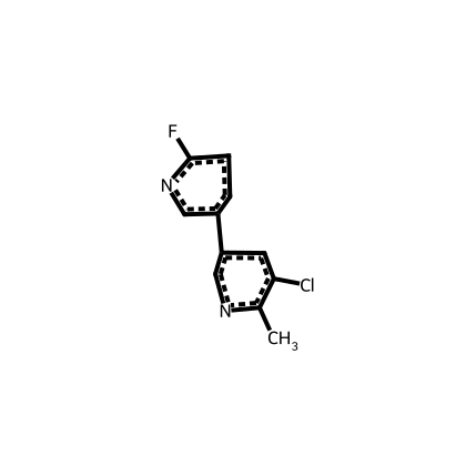 Cc1ncc(-c2ccc(F)nc2)cc1Cl